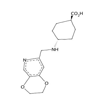 O=C(O)[C@H]1CC[C@H](NCc2cc3c(cn2)OCCO3)CC1